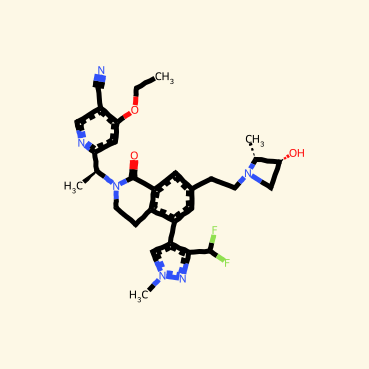 CCOc1cc([C@H](C)N2CCc3c(cc(CCN4C[C@@H](O)[C@H]4C)cc3-c3cn(C)nc3C(F)F)C2=O)ncc1C#N